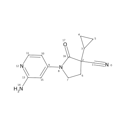 N#CC1(C2CC2)CCN(c2ccnc(N)c2)C1=O